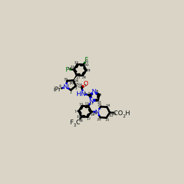 CC(C)N1C[C@@H](C(=O)Nc2nccn2-c2ccc(C(F)(F)F)cc2N2CCC(C(=O)O)CC2)[C@H](c2ccc(F)cc2F)C1